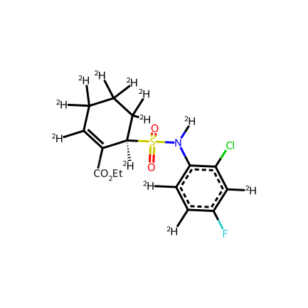 [2H]C1=C(C(=O)OCC)[C@]([2H])(S(=O)(=O)N([2H])c2c([2H])c([2H])c(F)c([2H])c2Cl)C([2H])([2H])C([2H])([2H])C1([2H])[2H]